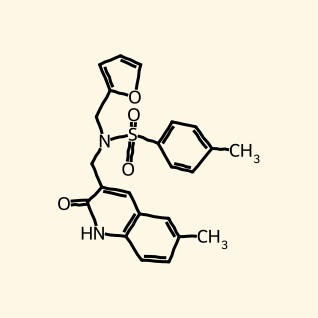 Cc1ccc(S(=O)(=O)N(Cc2ccco2)Cc2cc3cc(C)ccc3[nH]c2=O)cc1